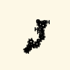 O=C(N[C@@H](c1ccccc1)c1cccc(OCc2ccc(CNC[C@H](O)c3ccc(O)c4[nH]c(=O)ccc34)nc2)c1)O[C@H]1CN2CCC1CC2